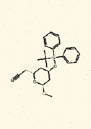 CO[C@@H]1C[C@H](O[Si](c2ccccc2)(c2ccccc2)C(C)(C)C)C[C@@H](CC#N)O1